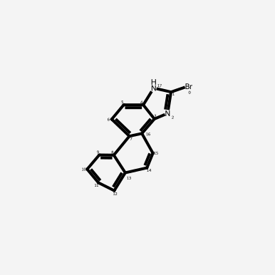 Brc1nc2c(ccc3c4ccccc4ccc32)[nH]1